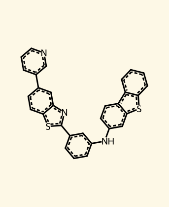 c1cncc(-c2ccc3sc(-c4cccc(Nc5ccc6c(c5)sc5ccccc56)c4)nc3c2)c1